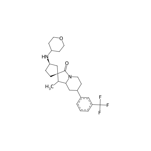 CC1C2CC(c3cccc(C(F)(F)F)c3)CCN2C(=O)[C@]12CC[C@@H](NC1CCOCC1)C2